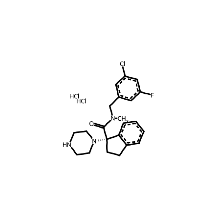 CN(Cc1cc(F)cc(Cl)c1)C(=O)[C@]1(N2CCNCC2)CCc2ccccc21.Cl.Cl